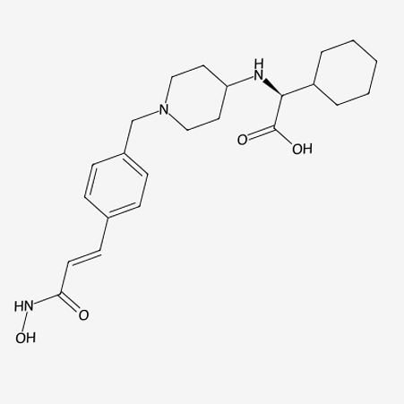 O=C(/C=C/c1ccc(CN2CCC(N[C@H](C(=O)O)C3CCCCC3)CC2)cc1)NO